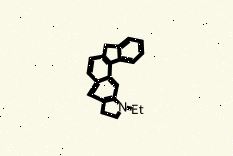 CCN1CCc2cc3ccc4c(c3cc21)-c1ccccc1C4